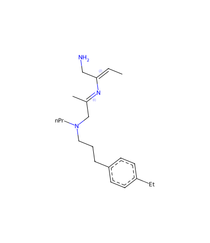 C/C=C(CN)\N=C(/C)CN(CCC)CCCc1ccc(CC)cc1